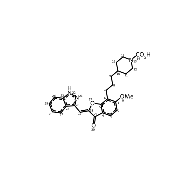 COc1ccc2c(c1CCCC1CCN(C(=O)O)CC1)OC(=Cc1n[nH]c3ccccc13)C2=O